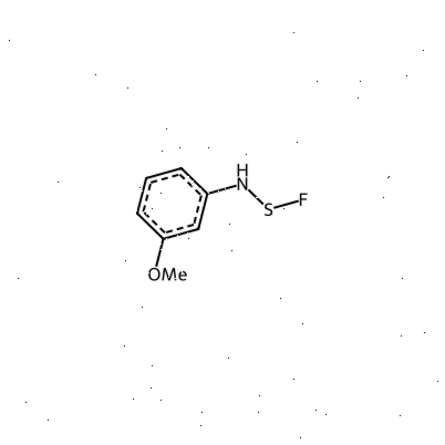 COc1cccc(NSF)c1